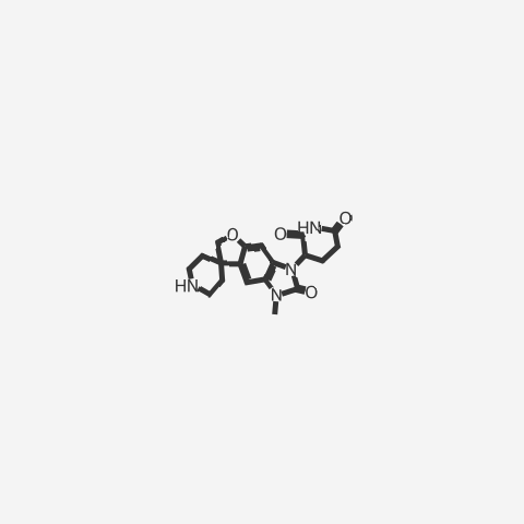 Cn1c(=O)n(C2CCC(=O)NC2=O)c2cc3c(cc21)C1(CCNCC1)CO3